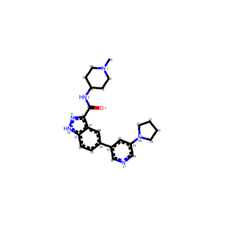 CN1CCC(NC(=O)c2n[nH]c3ccc(-c4cncc(N5CCCC5)c4)cc23)CC1